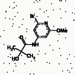 COc1cc(NC(=O)C(C)(C)O)cc(Br)n1